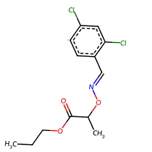 CCCOC(=O)C(C)ON=Cc1c[c]c(Cl)cc1Cl